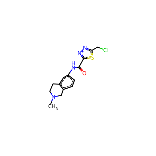 CN1CCc2cc(NC(=O)c3nnc(CCl)s3)ccc2C1